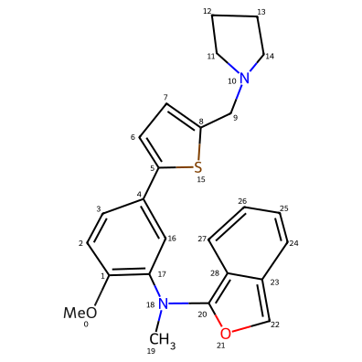 COc1ccc(-c2ccc(CN3CCCC3)s2)cc1N(C)c1occ2ccccc12